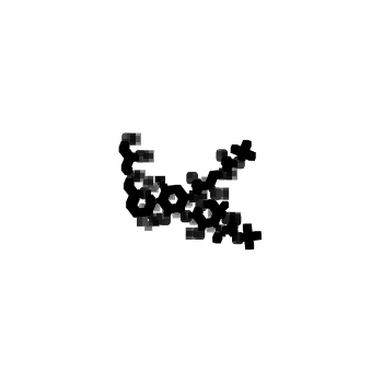 CN(C(=O)OC(C)(C)C)[C@@H]1[C@@H](O)[C@@H](O[C@H]2[C@H](NC(=O)[C@@H](O)CNC(=O)OC(C)(C)C)C[C@H](N)C([C@H]3OC(CNCC(O)CO)=CC[C@H]3N)[C@@H]2O)OC[C@]1(C)O